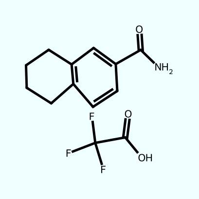 NC(=O)c1ccc2c(c1)CCCC2.O=C(O)C(F)(F)F